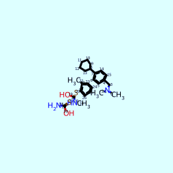 CN(C)Cc1ccc(C2CCCCC2)cc1.CNC(O)=S.Cc1ccccc1.NC(O)=S